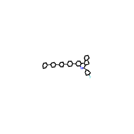 Fc1ccc(-c2nc3cc(-c4ccc(-c5ccc(-c6ccc(-c7ccccc7)cc6)cc5)cc4)ccc3c3c2ccc2ccccc23)cc1